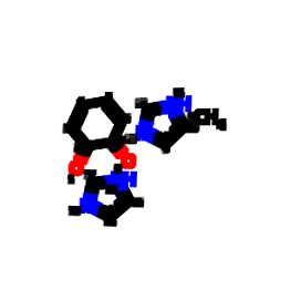 C.O=C1C=CC=CC1=O.c1c[nH]cn1.c1c[nH]cn1